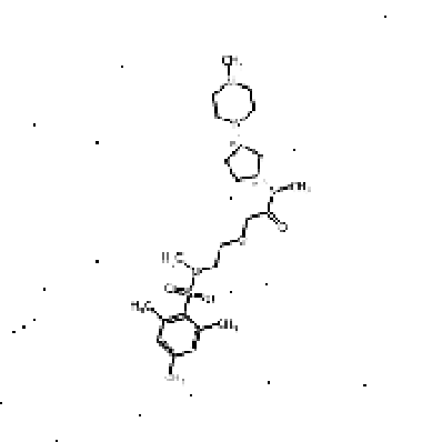 Cc1cc(C)c(S(=O)(=O)N(C)CCOCC(=O)N(C)[C@@H]2CC[C@H](N3CCN(C)CC3)C2)c(C)c1